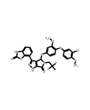 CC(F)(F)CN1C(=O)c2[nH]nc(-c3cccc4[nH]c(=O)oc34)c2C1Oc1ccc(Oc2ccc(OC(F)(F)F)c(Cl)c2)c(OC(F)(F)F)c1